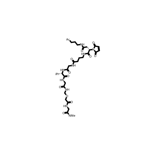 CNC(=O)CNC(=O)COCNC(=O)CNC(=O)[C@@H](NC(=O)CNC(=O)CCCNC(=O)[C@H](CC(=O)NCCCC(C)=O)N1C(=O)C=CC1=O)C(C)C